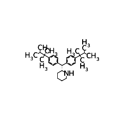 CC(C)C(C)(C)c1ccc(C(c2ccc(C(C)(C)C(C)C)cc2)[C@H]2CCCCN2)cc1